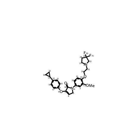 COc1cc(N2CC=C(Oc3ccc(C4CC4)cc3)C2=O)ccc1OCCN1CCC(F)(F)C1